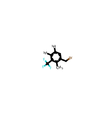 [2H]c1cc(CBr)c(C)c(C(F)(F)F)c1[2H]